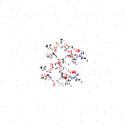 CC[C@H]1OC(=O)[C@H](C)C(=O)[C@H](C)[C@@H](O[C@@H]2O[C@H](C)C[C@H](N(C)C)[C@H]2O)[C@@H](C)C[C@@H](C)C(=O)/C=C/[C@]1(C)O.CC[C@H]1OC(=O)[C@H](C)C(=O)[C@H](C)[C@@H](O[C@@H]2O[C@H](C)C[C@H](N(C)C)[C@H]2O)[C@@H](C)C[C@@H](C)C(=O)/C=C/[C@]1(C)O